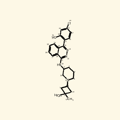 CC1(O)CC(N2CCCC(Nc3nnc(-c4ccc(Cl)cc4O)c4ccccc34)C2)C1